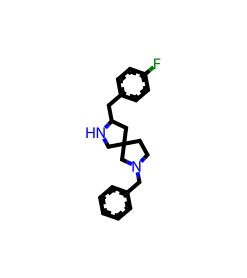 Fc1ccc(CC2CC3(CCN(Cc4ccccc4)C3)CN2)cc1